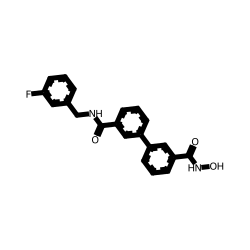 O=C(NO)c1cccc(-c2cccc(C(=O)NCc3cccc(F)c3)c2)c1